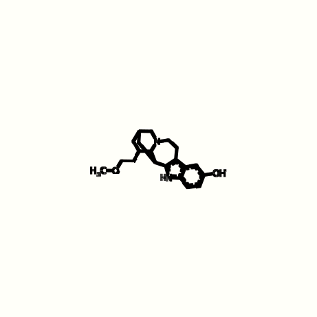 COCCC1CC2CC3c4[nH]c5ccc(O)cc5c4CCN(C2)C13